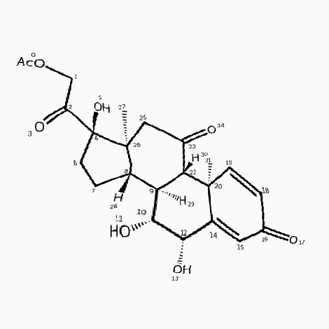 CC(=O)OCC(=O)[C@@]1(O)CC[C@H]2[C@@H]3[C@@H](O)[C@@H](O)C4=CC(=O)C=C[C@]4(C)[C@H]3C(=O)C[C@@]21C